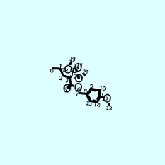 CCCC(C(=O)OCc1ccc(OC)cc1)P(=O)(OC)OC